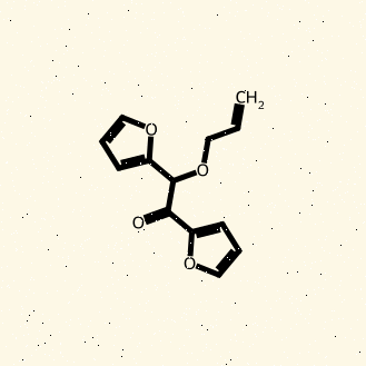 C=CCOC(C(=O)c1ccco1)c1ccco1